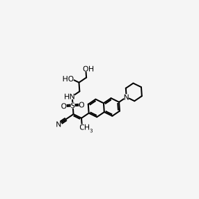 C/C(=C(\C#N)S(=O)(=O)NCC(O)CO)c1ccc2cc(N3CCCCC3)ccc2c1